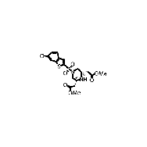 COC(=O)C[C@@H]1CN(S(=O)(=O)c2cc3ccc(Cl)cc3s2)C[C@H](CC(=O)OC)N1